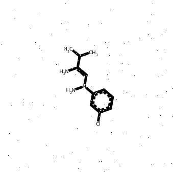 CC(C)/C(N)=C/N(N)c1cccc(Cl)c1